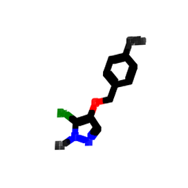 CCn1ncc(OCc2ccc(OC)cc2)c1Br